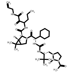 C=CCNC(=O)C(=O)C(CCC)NC(=O)[C@@H]1[C@@H]2C(CN1C(=O)[C@@H](NC(=O)N[C@H](CN1CCN(C(C)=O)[S+]1[O-])C(C)(C)C)C1CCCCC1)C2(C)C